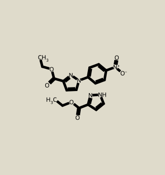 CCOC(=O)c1cc[nH]n1.CCOC(=O)c1ccn(-c2ccc([N+](=O)[O-])cc2)n1